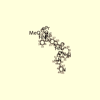 CCCOC(=O)[C@H](COC)NP(=O)(Oc1ccccc1)[C@@H](F)c1ccc2sc(C(=O)N[C@H]3CCCC[C@H]4CC[C@@H](C(=O)N5C[C@@H](c6cccnc6)CC56CC6)N4C3=O)cc2c1